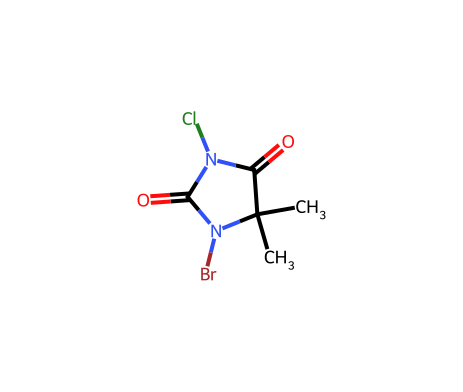 CC1(C)C(=O)N(Cl)C(=O)N1Br